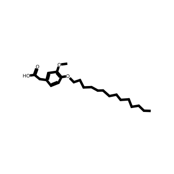 CCCCCCCCCCCCCCOc1ccc(CC(=O)O)cc1OC